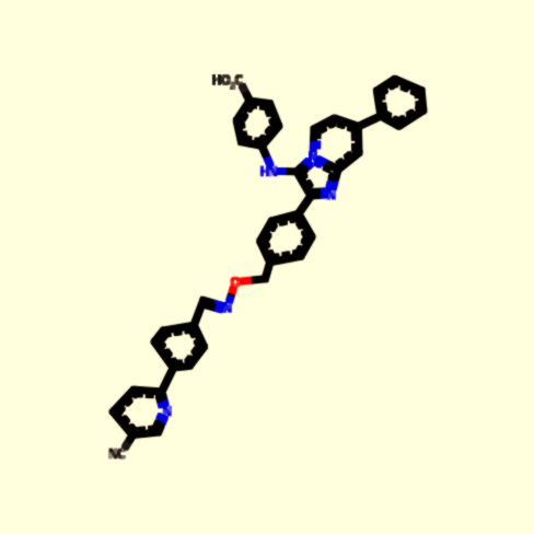 N#Cc1ccc(-c2ccc(C=NOCc3ccc(-c4nc5cc(-c6ccccc6)ccn5c4Nc4ccc(C(=O)O)cc4)cc3)cc2)nc1